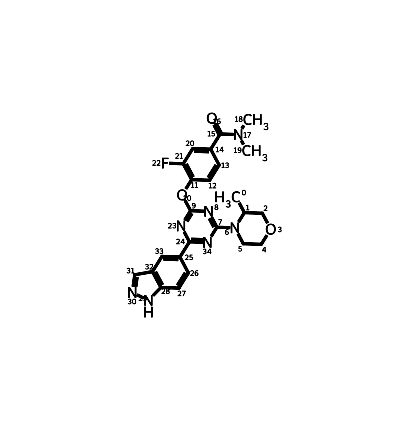 CC1COCCN1c1nc(Oc2ccc(C(=O)N(C)C)cc2F)nc(-c2ccc3[nH]ncc3c2)n1